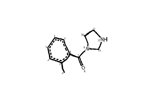 Cc1ccccc1C(=O)N1CCNC1